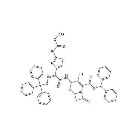 CC(C)(C)OC(=O)Nc1nc(/C(=N/OC(c2ccccc2)(c2ccccc2)c2ccccc2)C(=O)NC2SC3CC(=O)N3C(C(=O)OC(c3ccccc3)c3ccccc3)=C2S)cs1